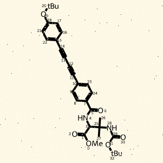 COC(=O)C(NC(=O)c1ccc(C#CC#Cc2ccc(OC(C)(C)C)cc2)cc1)C(C)(C)NC(=O)OC(C)(C)C